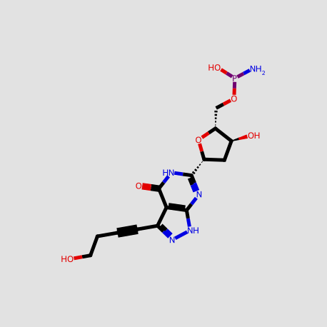 NP(O)OC[C@H]1O[C@@H](c2nc3[nH]nc(C#CCCO)c3c(=O)[nH]2)C[C@@H]1O